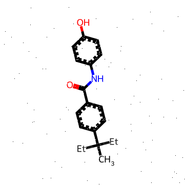 CCC(C)(CC)c1ccc(C(=O)Nc2ccc(O)cc2)cc1